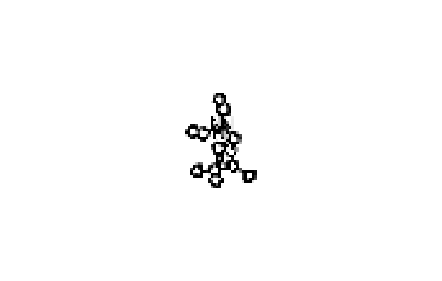 C1=CC2C(c3ccccc3)=Cc3c(c4cc(-c5ccccc5)ccc4n3-c3cccc4c3oc3cccc(-c5nc(-c6ccc7ccccc7c6)nc(-c6ccc7ccccc7c6)n5)c34)C2C=C1